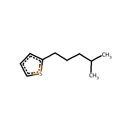 CC(C)CCCc1cccs1